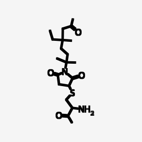 CCC(C)(CCC(C)(C)N1C(=O)CC(SCC(N)C(C)=O)C1=O)CC(C)=O